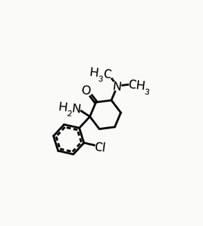 CN(C)C1CCCC(N)(c2ccccc2Cl)C1=O